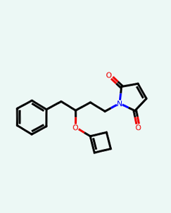 O=C1C=CC(=O)N1CCC(Cc1ccccc1)OC1=CCC1